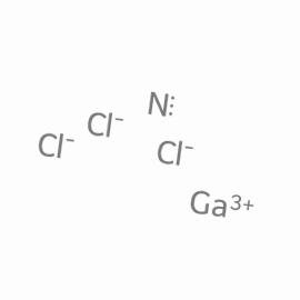 [Cl-].[Cl-].[Cl-].[Ga+3].[N]